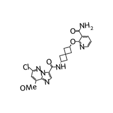 COc1cc(Cl)nn2c(C(=O)N[C@H]3CC4(C3)C[C@H](Oc3ncccc3C(N)=O)C4)cnc12